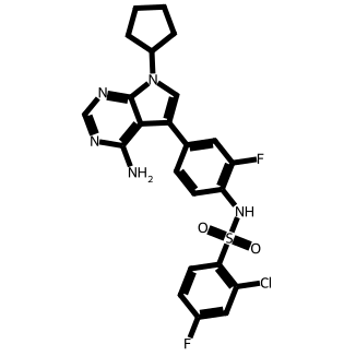 Nc1ncnc2c1c(-c1ccc(NS(=O)(=O)c3ccc(F)cc3Cl)c(F)c1)cn2C1CCCC1